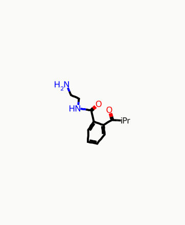 CC(C)C(=O)c1ccccc1C(=O)NCCN